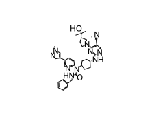 C[C@H]1[C@@H](C(C)(C)O)CCN1c1nc(N[C@H]2CC[C@H](N(C(=O)NCc3ccccc3)c3ccc(-c4cnn(C)c4)cn3)CC2)ncc1C#N